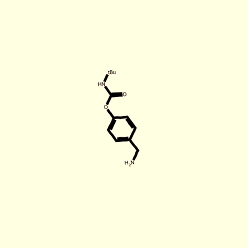 CC(C)(C)NC(=O)Oc1ccc(CN)cc1